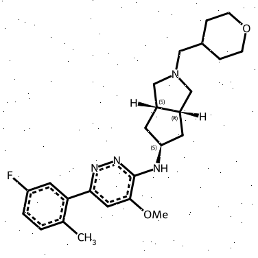 COc1cc(-c2cc(F)ccc2C)nnc1N[C@H]1C[C@@H]2CN(CC3CCOCC3)C[C@@H]2C1